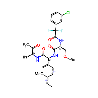 C=C(/C=C\C(=C/C)OC)[C@H](NC(=O)[C@H](COC(C)(C)C)NC(=O)C(F)(F)c1cccc(Cl)c1)C(=O)N[C@H](C(=O)C(F)(F)F)C(C)C